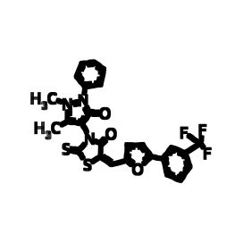 Cc1c(N2C(=O)C(=Cc3ccc(-c4cccc(C(F)(F)F)c4)o3)SC2=S)c(=O)n(-c2ccccc2)n1C